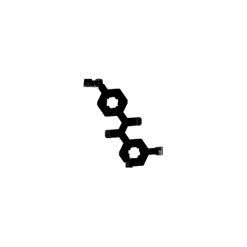 COc1ccc(C(=O)C(=O)c2cncc(Cl)c2)cc1